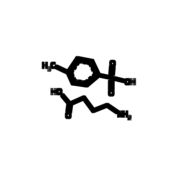 Cc1ccc(S(=O)(=O)O)cc1.NCCCC(=O)O